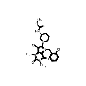 Cn1c(=O)c2c(c(Cl)c(N3CCC[C@@H](NC(=O)OC(C)(C)C)C3)n2Cc2ccccc2Cl)n(C)c1=O